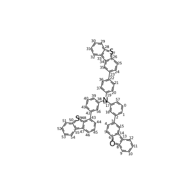 c1cc(-c2ccc3oc4ccccc4c3c2)cc(N(c2ccc(-c3ccc4sc5ccccc5c4c3)cc2)c2cccc(-c3cccc4c3sc3ccccc34)c2)c1